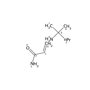 C=CC(N)=O.CCCC(C)(C)N